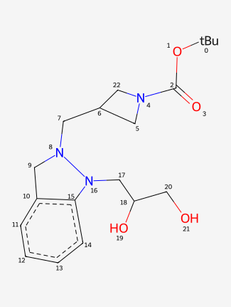 CC(C)(C)OC(=O)N1CC(CN2Cc3ccccc3N2CC(O)CO)C1